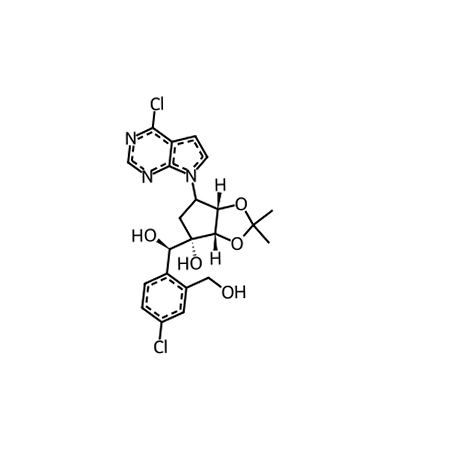 CC1(C)O[C@H]2C(n3ccc4c(Cl)ncnc43)C[C@](O)([C@H](O)c3ccc(Cl)cc3CO)[C@H]2O1